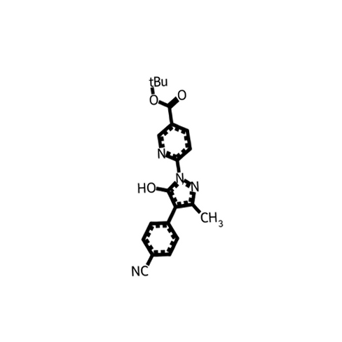 Cc1nn(-c2ccc(C(=O)OC(C)(C)C)cn2)c(O)c1-c1ccc(C#N)cc1